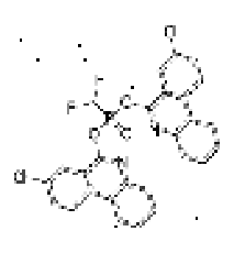 O=P(Oc1nc2ccccc2c2ccc(Cl)cc12)(Oc1nc2ccccc2c2ccc(Cl)cc12)C(F)F